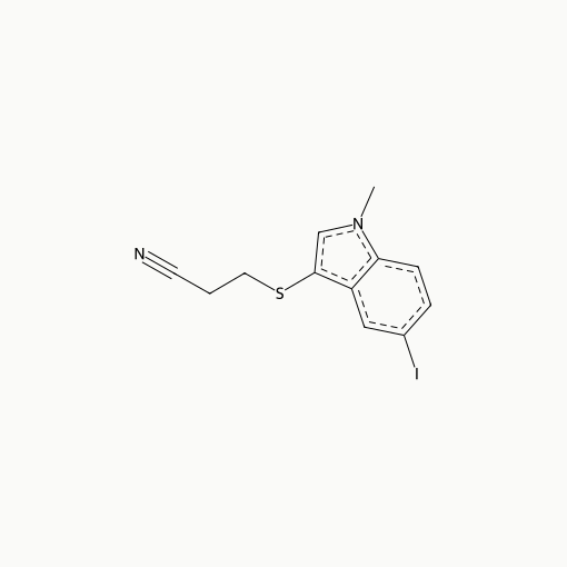 Cn1cc(SCCC#N)c2cc(I)ccc21